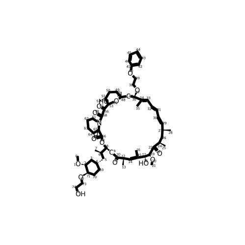 CO[C@@H]1C[C@H](C[C@@H](C)[C@@H]2CC(=O)[C@H](C)/C=C(\C)[C@@H](O)[C@@H](OC)C(=O)[C@H](C)C[C@H](C)/C=C/C=C/C=C(\C)[C@H](OCCOc3ccccc3)C[C@@H]3CC[C@@H](C)[C@@](O)(O3)C(=O)C(=O)N3CCCC[C@H]3C(=O)O2)CC[C@H]1OCCO